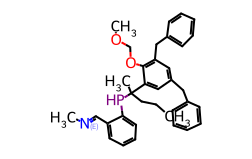 CCCC(C)(Pc1ccccc1/C=N/C)c1cc(Cc2ccccc2)cc(Cc2ccccc2)c1OCOC